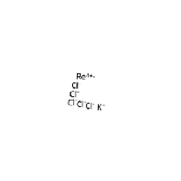 [Cl-].[Cl-].[Cl-].[Cl-].[Cl-].[K+].[Re+4]